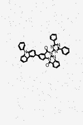 O=c1c2cc(-c3ccc4c(c3)c3ccccc3n4-c3ccccc3)ccc2n2c(=O)c3ccccc3nc2n1-c1nc(-c2ccccc2)nc(-c2ccccc2)n1